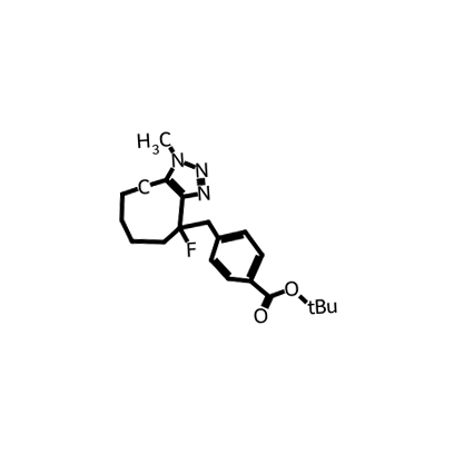 Cn1nnc2c1CCCCCC2(F)Cc1ccc(C(=O)OC(C)(C)C)cc1